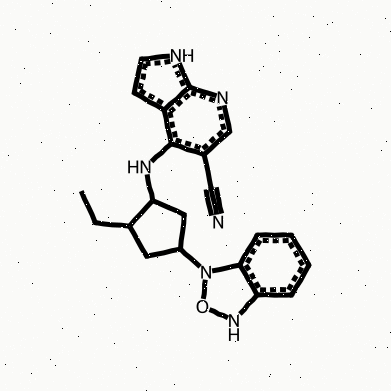 CCC1CC(N2ONc3ccccc32)CC1Nc1c(C#N)cnc2[nH]ccc12